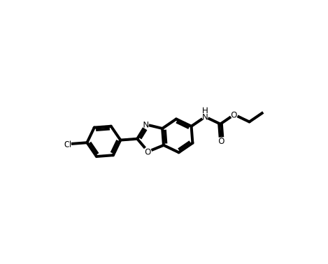 CCOC(=O)Nc1ccc2oc(-c3ccc(Cl)cc3)nc2c1